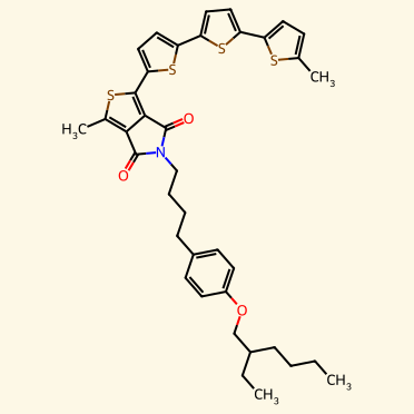 CCCCC(CC)COc1ccc(CCCCN2C(=O)c3c(C)sc(-c4ccc(-c5ccc(-c6ccc(C)s6)s5)s4)c3C2=O)cc1